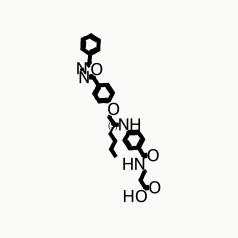 CCCC[C@@H](COc1ccc(-c2nnc(-c3ccccc3)o2)cc1)Nc1ccc(C(=O)NCCC(=O)O)cc1